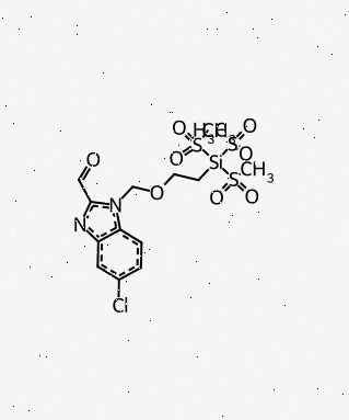 CS(=O)(=O)[Si](CCOCn1c(C=O)nc2cc(Cl)ccc21)(S(C)(=O)=O)S(C)(=O)=O